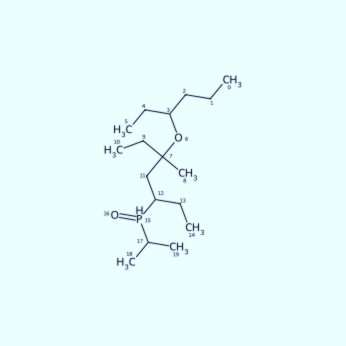 CCCC(CC)OC(C)(CC)CC(CC)[PH](=O)C(C)C